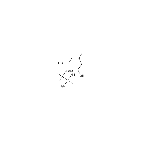 CCCC(C)C(C)(C)C(C)(N)N.CN(CCO)CCO